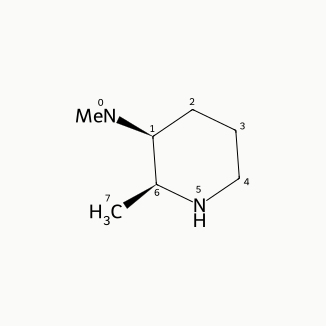 CN[C@H]1CCCN[C@H]1C